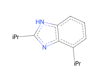 CC(C)c1nc2c(C(C)C)cccc2[nH]1